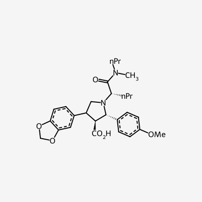 CCC[C@@H](C(=O)N(C)CCC)N1CC(c2ccc3c(c2)OCO3)[C@H](C(=O)O)[C@H]1c1ccc(OC)cc1